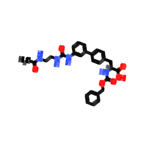 CC(=O)NCCNC(=O)Nc1cccc(-c2ccc(C[C@H](NC(=O)OCc3ccccc3)C(=O)O)cc2)c1